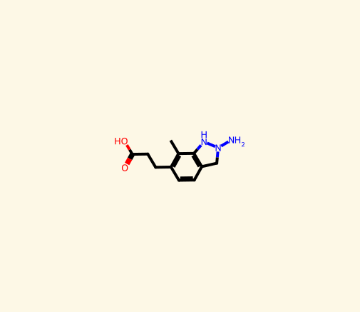 Cc1c(CCC(=O)O)ccc2c1NN(N)C2